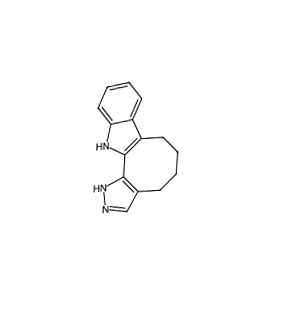 c1ccc2c3c([nH]c2c1)-c1[nH]ncc1CCCC3